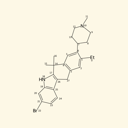 CCc1cc2c(cc1C1CCN(C)CC1)C(C)(C)c1[nH]c3cc(Br)ccc3c1C2